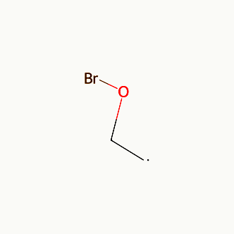 [CH2]COBr